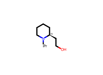 CC(C)N1CCCC[C@H]1CCO